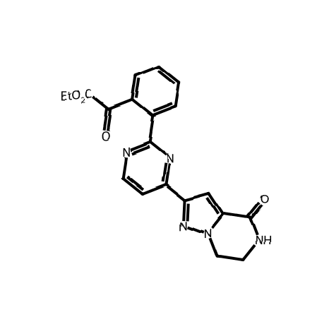 CCOC(=O)C(=O)c1ccccc1-c1nccc(-c2cc3n(n2)CCNC3=O)n1